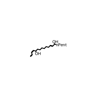 C=C/C=C\C(O)CCCCCCC=CC(O)CCCCC